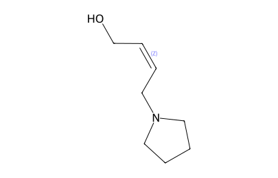 OC/C=C\CN1CCCC1